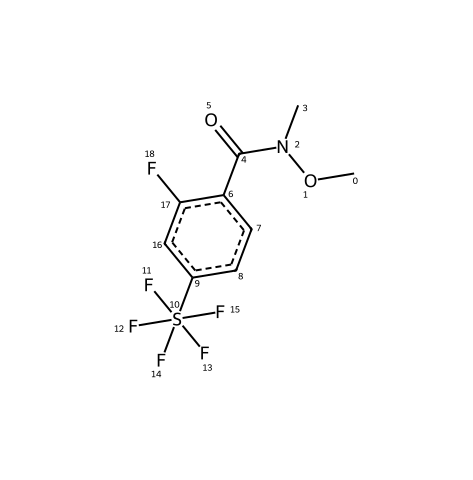 CON(C)C(=O)c1ccc(S(F)(F)(F)(F)F)cc1F